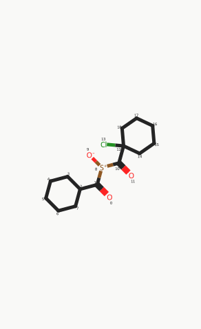 O=C(C1CCCCC1)[S+]([O-])C(=O)C1(Cl)CCCCC1